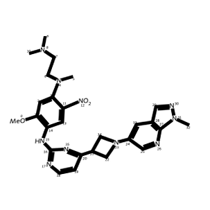 COc1cc(N(C)CCN(C)C)c([N+](=O)[O-])cc1Nc1nccc(C2CN(c3cnc4c(cnn4C)c3)C2)n1